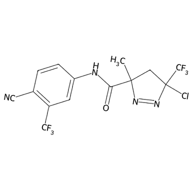 CC1(C(=O)Nc2ccc(C#N)c(C(F)(F)F)c2)CC(Cl)(C(F)(F)F)N=N1